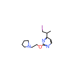 CC(CI)c1ccnc(OCCN2CCCC2)n1